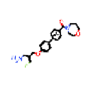 NCC(=CF)COc1ccc(C23CCC(C(=O)N4CCCOCC4)(CC2)CC3)cc1